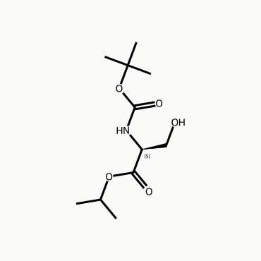 CC(C)OC(=O)[C@H](CO)NC(=O)OC(C)(C)C